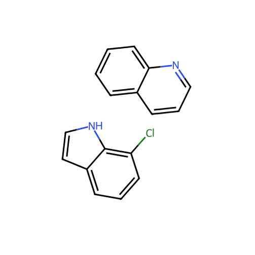 Clc1cccc2cc[nH]c12.c1ccc2ncccc2c1